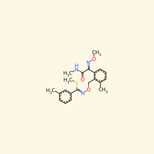 CNC(=O)/C(=N/OC)c1cccc(C)c1CO/N=C(\SC)c1cccc(C)c1